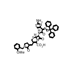 COc1ccccc1CN1CC/C(=C\C2=C(C(=O)O)N3C(=O)[C@@H](NC(=O)/C(=N\OC(c4ccccc4)(c4ccccc4)c4ccccc4)c4csc(N)n4)[C@H]3SC2)C1=O